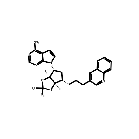 CC1(C)O[C@@H]2[C@@H](CCCc3cnc4ccccc4c3)C[C@@H](n3ccc4c(N)ncnc43)[C@@H]2O1